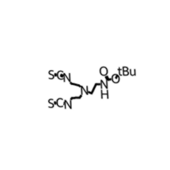 CC(C)(C)OC(=O)NCCN(CCN=C=S)CCN=C=S